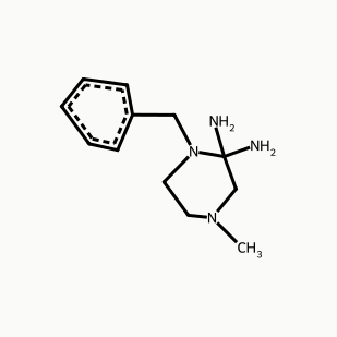 CN1CCN(Cc2ccccc2)C(N)(N)C1